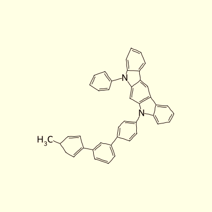 CC1C=CC(c2cccc(-c3ccc(-n4c5ccccc5c5cc6c7ccccc7n(-c7ccccc7)c6cc54)cc3)c2)=CC1